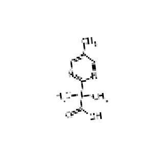 Cc1cnc(C(C)(C)C(=O)O)nc1